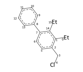 CCc1c(CCl)ccc(-c2ccccc2)c1CC